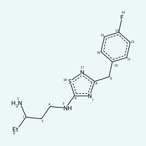 CCC(N)CCNc1nc(Cc2ccc(F)cc2)ns1